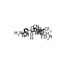 CC(NP(=O)(OCC(F)(F)F)OC[C@@]1(C#N)O[C@@H](c2ccc3c(N)ncnn23)[C@H](O)[C@@H]1O)C(=O)O